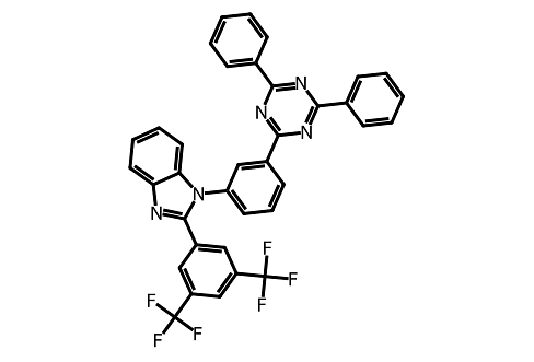 FC(F)(F)c1cc(-c2nc3ccccc3n2-c2cccc(-c3nc(-c4ccccc4)nc(-c4ccccc4)n3)c2)cc(C(F)(F)F)c1